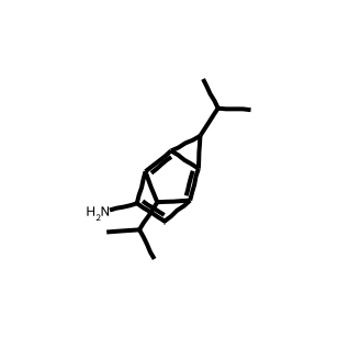 CC(C)C1C2=C3C(=C1C(N)=[C]2)C3C(C)C